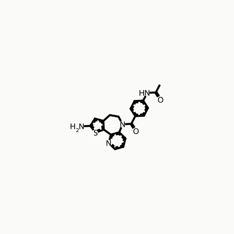 CC(=O)Nc1ccc(C(=O)N2CCc3cc(N)sc3-c3ncccc32)cc1